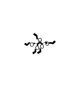 C=CCOC[C@H](OCC=C)[C@@H](OCC=C)[C@@H](COCC=C)OCC=C